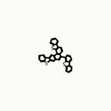 c1ccc2c(c1)sc1cc3cc(-c4cccc5c4sc4ccccc45)c4ccc5c6ccccc6sc5c4c3cc12